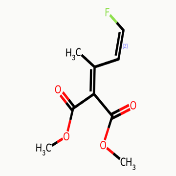 COC(=O)C(C(=O)OC)=C(C)/C=C\F